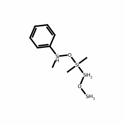 C[SiH](O[Si](C)(C)[SiH2]O[SiH3])c1ccccc1